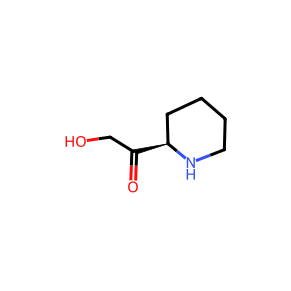 O=C(CO)[C@H]1CCCCN1